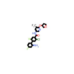 Nc1cc(F)ccc1-c1cc(Cl)c(C(=O)Nc2cnc(OC3CCOC3)c(C(F)(F)F)c2)cc1F